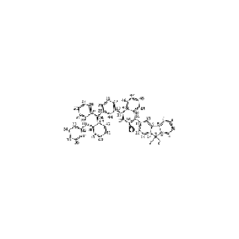 CC1(C)c2ccccc2-c2cc3c(cc21)oc1cc(-c2cccc(-c4c5ccccc5c(-c5ccccc5)c5ccccc45)c2)c2ccccc2c13